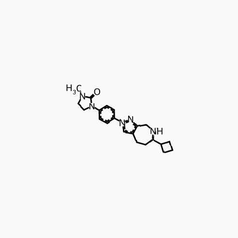 CN1CCN(c2ccc(-n3cc4c(n3)CNC(C3CCC3)CC4)cc2)C1=O